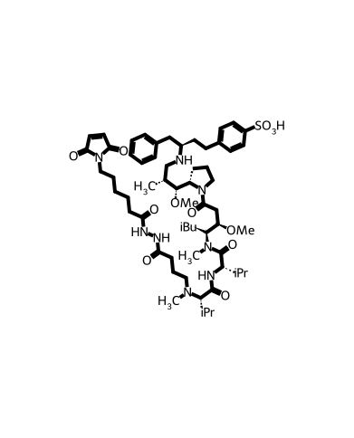 CC[C@H](C)[C@@H]([C@@H](CC(=O)N1CCC[C@H]1[C@H](OC)[C@H](C)CN[C@H](CCc1ccc(S(=O)(=O)O)cc1)Cc1ccccc1)OC)N(C)C(=O)[C@@H](NC(=O)[C@H](C(C)C)N(C)CCCC(=O)NNC(=O)CCCCCN1C(=O)C=CC1=O)C(C)C